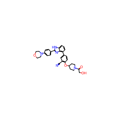 N#Cc1cc(-c2cccc3[nH]c(-c4ccc(N5CCOCC5)cc4)nc23)ccc1OC1CCN(C(=O)CO)CC1